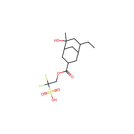 CCC1CC(C)(O)C2CC(C(=O)OCC(F)(F)S(=O)(=O)O)CC1C2